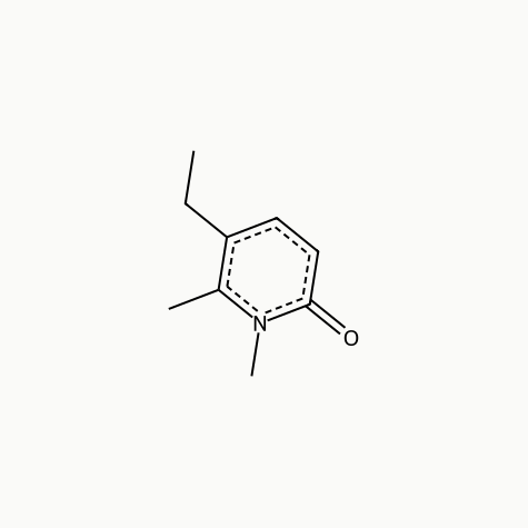 CCc1ccc(=O)n(C)c1C